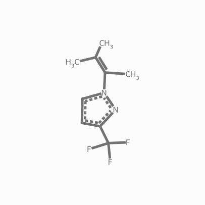 CC(C)=C(C)n1ccc(C(F)(F)F)n1